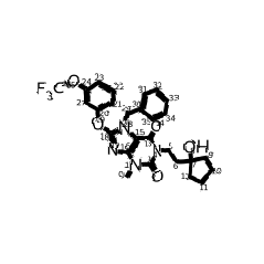 Cn1c(=O)n(CCC2(O)CCCC2)c(=O)c2c1nc(Oc1cccc(OC(F)(F)F)c1)n2Cc1ccccc1